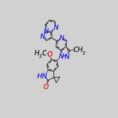 COc1cc2c(cc1-n1nc(C)c3cnc(-c4cnn5cccnc45)cc31)C1(CC1)C(=O)N2